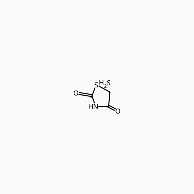 O=C1CSC(=O)N1.S